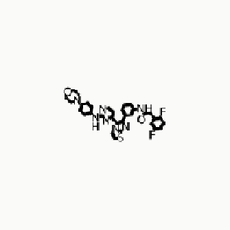 O=C(Cc1cc(F)ccc1F)Nc1cccc(-c2nc3sccn3c2-c2ccnc(Nc3ccc(N4CCOCC4)cc3)n2)c1